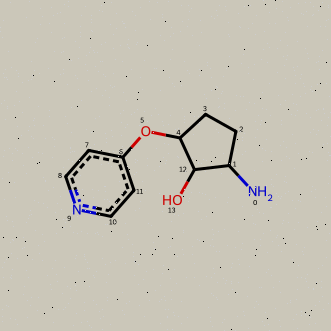 NC1CCC(Oc2ccncc2)C1O